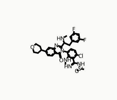 CNc1c(-n2c(C(Cc3cc(F)cc(F)c3)NC)nc3cc(C4CCOCC4)ccc3c2=O)ccc(Cl)c1C(=N)N[S+](C)[O-]